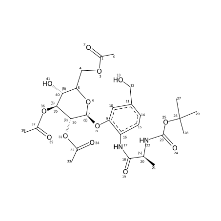 CC(=O)OCC1O[C@@H](Oc2cc(CO)ccc2NC(=O)[C@H](C)NC(=O)OC(C)(C)C)[C@H](OC(C)=O)[C@@H](OC(C)=O)[C@@H]1O